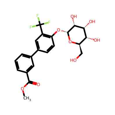 COC(=O)c1cccc(-c2ccc(O[C@H]3O[C@H](CO)[C@@H](O)[C@@H](O)[C@H]3O)c(C(F)(F)F)c2)c1